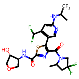 CC1CC(F)(F)CN1C(=O)c1nc(C(=O)N[C@H]2COC[C@@H]2O)sc1-c1cnc(NC(C)C(F)(F)F)cc1C(F)F